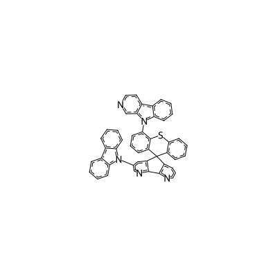 c1ccc2c(c1)Sc1c(-n3c4ccccc4c4ccncc43)cccc1C21c2cccnc2-c2ncc(-n3c4ccccc4c4ccccc43)cc21